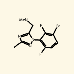 CNCc1nc(C)nn1-c1c(F)ccc(Br)c1F